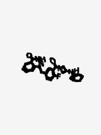 O=C(c1cc(Cc2n[nH]c(=O)c3ccccc23)ccc1F)N1CC(NC2CC3CCC2C3)C1